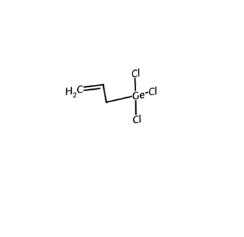 C=C[CH2][Ge]([Cl])([Cl])[Cl]